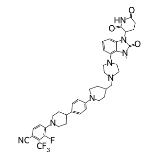 Cn1c(=O)n(C2CCC(=O)NC2=O)c2cccc(N3CCN(CC4CCN(c5ccc(C6CCN(c7ccc(C#N)c(C(F)(F)F)c7F)CC6)cc5)CC4)CC3)c21